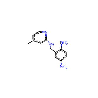 Cc1ccnc(NCc2cc(N)ccc2N)c1